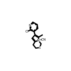 CC1=C(c2cccnc2Cl)C=C2CCSC[N+]21C#N